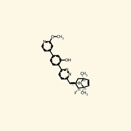 COc1cc(-c2ccc(-c3ccc(/C=C4\C[C@@]5(C)C=C[C@](C)(N5)[C@@H]4F)nn3)c(O)c2)ccn1